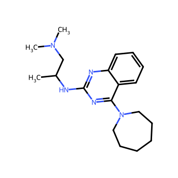 CC(CN(C)C)Nc1nc(N2CCCCCC2)c2ccccc2n1